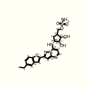 CCc1ccc2sc(-c3cc4nccc(N[C@@H]5CC(COS(N)(=O)=O)[C@@H](O)[C@H]5O)n4n3)cc2c1